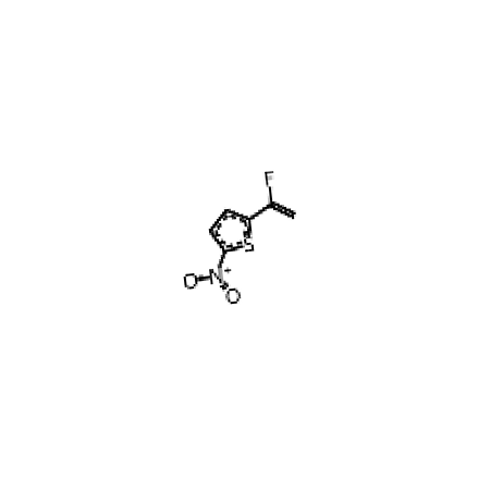 C=C(F)c1ccc([N+](=O)[O-])s1